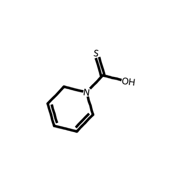 OC(=S)N1C=CC=CC1